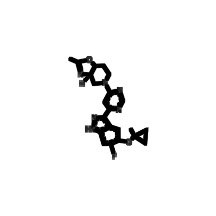 CC1=N[C@H]2CN(c3cc(-c4n[nH]c5cc(F)c(OC6(C)CC6)cc45)ncn3)CCC2O1